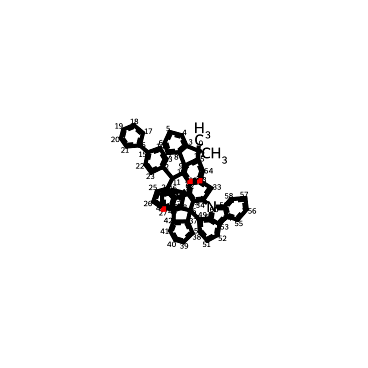 CC1(C)c2ccccc2-c2c(C(c3ccc(-c4ccccc4)cc3)c3ccccc3-c3cccc4c3C3(c5ccccc5-c5ccccc53)c3cccc5c6ccccc6n-4c35)cccc21